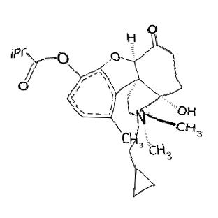 Cc1ccc(OC(=O)C(C)C)c2c1[C@]13CC[N@+](C)(CC4CC4)[C@H](C)[C@]1(O)CCC(=O)[C@@H]3O2